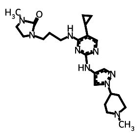 CN1CCC(n2cc(Nc3ncc(C4CC4)c(NCCCN4CCN(C)C4=O)n3)cn2)CC1